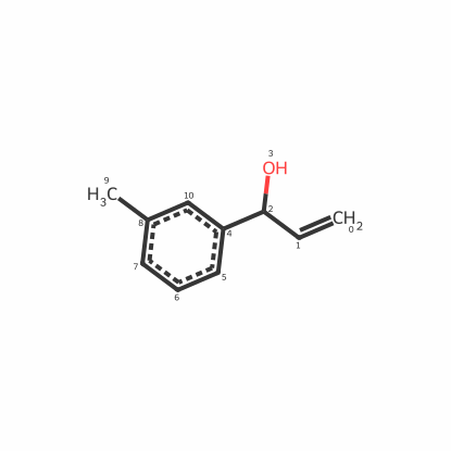 C=CC(O)c1cccc(C)c1